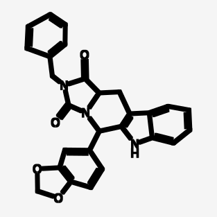 O=C1C2Cc3c([nH]c4ccccc34)C(c3ccc4c(c3)OCO4)N2C(=O)N1Cc1ccccc1